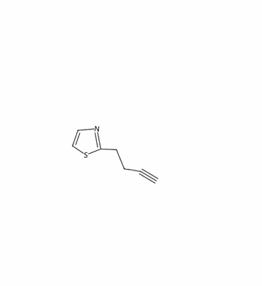 C#CCCc1nccs1